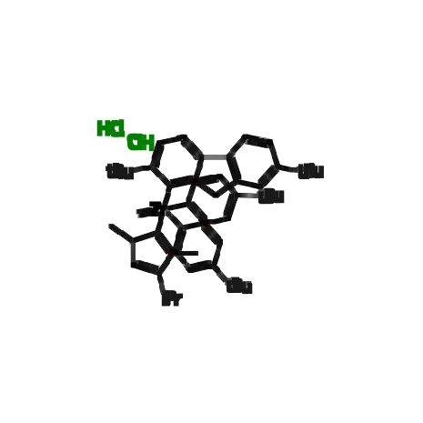 Cl.Cl.[CH2]=[Zr]([C]1=C(C)C(C(C)C)=CC1C)([c]1ccc(C(C)(C)C)cc1)([c]1ccc(C(C)(C)C)cc1)[c]1c(C(C)(C)C)ccc2c1Cc1cc(C(C)(C)C)ccc1-2